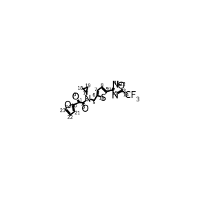 O=C(C(=O)N(Cc1ccc(-c2noc(C(F)(F)F)n2)s1)C1CC1)c1ccco1